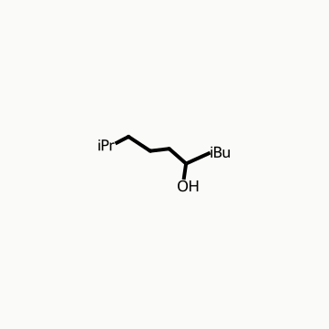 CCC(C)C(O)CCCC(C)C